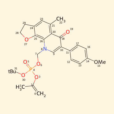 C=C(C)OP(=O)(OCn1cc(-c2ccc(OC)cc2)c(=O)c2c(C)cc3c(c21)OCC3)OC(C)(C)C